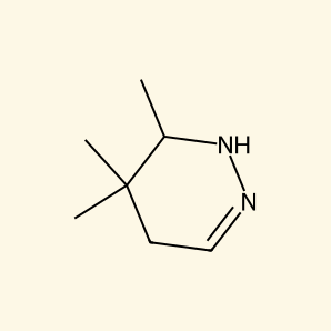 CC1NN=CCC1(C)C